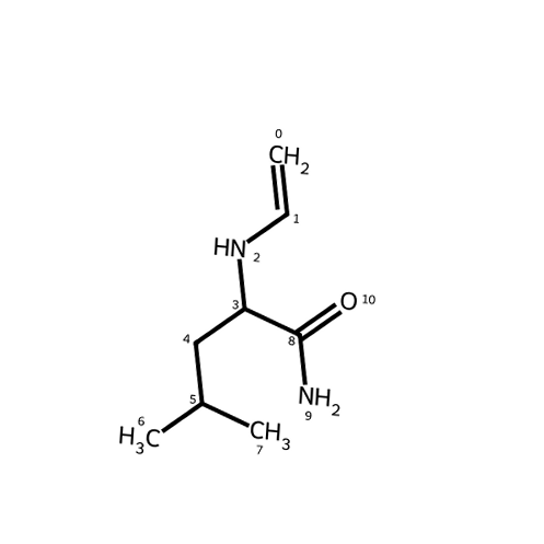 C=CNC(CC(C)C)C(N)=O